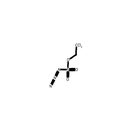 [N-]=[N+]=NS(=O)(=O)OCC(Cl)(Cl)Cl